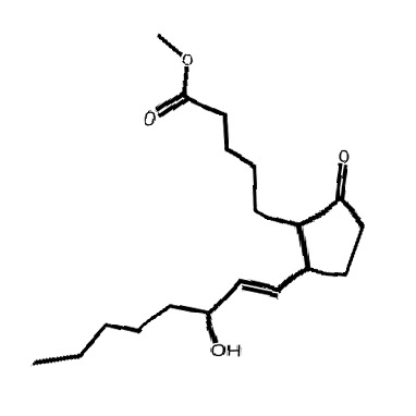 CCCCCC(O)C=CC1CCC(=O)C1CCCCC(=O)OC